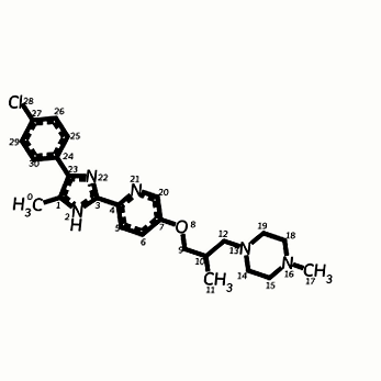 Cc1[nH]c(-c2ccc(OCC(C)CN3CCN(C)CC3)cn2)nc1-c1ccc(Cl)cc1